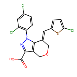 O=C(O)c1nn(-c2ccc(Cl)cc2Cl)c2c1COCC2=Cc1ccc(Cl)s1